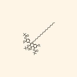 CCCCCCCCCCCCCCCCCCn1c(-c2ccc(OC(=O)C(C)(C)C)c(OC)c2)c(OC(=O)C(C)(C)C)c(=O)c2c(OC(=O)C(C)(C)C)cc(OC)cc21